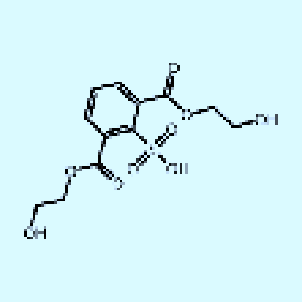 O=C(OCCO)c1cccc(C(=O)OCCO)c1S(=O)(=O)O